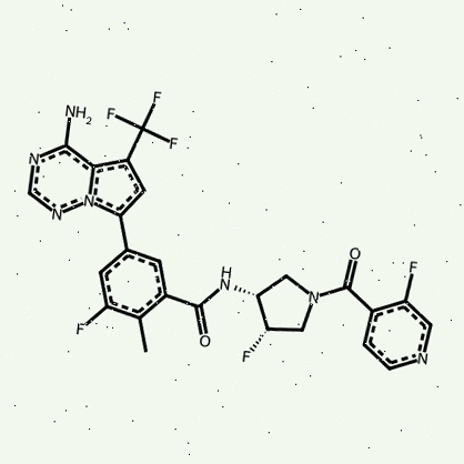 Cc1c(F)cc(-c2cc(C(F)(F)F)c3c(N)ncnn23)cc1C(=O)N[C@@H]1CN(C(=O)c2ccncc2F)C[C@@H]1F